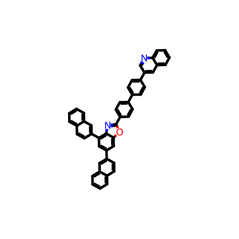 c1ccc2cc(-c3cc(-c4ccc5ccccc5c4)c4nc(-c5ccc(-c6ccc(-c7cnc8ccccc8c7)cc6)cc5)oc4c3)ccc2c1